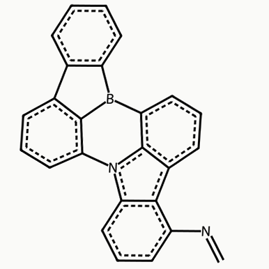 C=Nc1cccc2c1c1cccc3c1n2-c1cccc2c1B3c1ccccc1-2